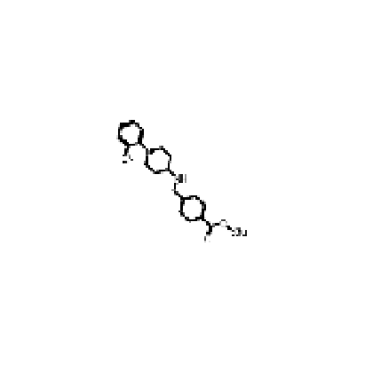 CC(C)(C)OC(=O)C1CCC(CNC2CCN(c3ccccc3C#N)CC2)CC1